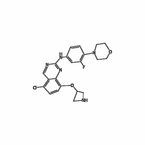 Fc1cc(Nc2ncc3c(Cl)ccc(OC4CNC4)c3n2)ccc1N1CCOCC1